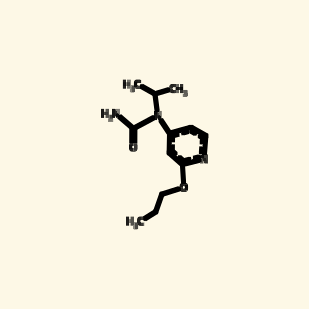 CCCOc1cc(N(C(N)=O)C(C)C)ccn1